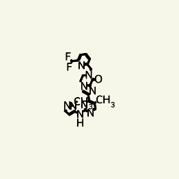 Cc1cnc(Nc2ccnn2C)nc1-c1cn2c(n1)C(=O)N(Cc1cccc(C(F)F)n1)CC2